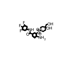 Nc1ccc(C(=O)Nc2cc(F)c(F)c(F)c2)cc1S(=O)(=O)N1CCC(O)(CO)CC1